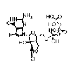 Nc1nc2c(c(F)cn2[C@@H]2O[C@H](COP(=O)(O)OP(=O)(O)OP(=O)(O)O)C(CO)C2(O)C#CCl)c(=O)[nH]1